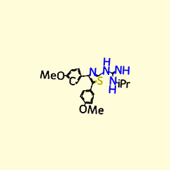 COc1ccc(-c2nc(NC(=N)NC(C)C)sc2-c2ccc(OC)cc2)cc1